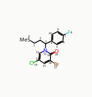 CSCCC(c1ccc(F)cc1)n1cc(Cl)cc(Br)c1=O